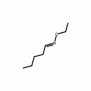 CCCC/C=N/OCC